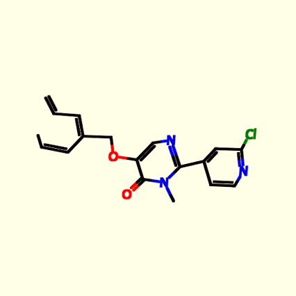 C=C/C=C(\C=C/C)COc1cnc(-c2ccnc(Cl)c2)n(C)c1=O